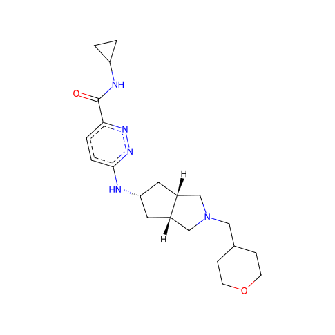 O=C(NC1CC1)c1ccc(N[C@@H]2C[C@@H]3CN(CC4CCOCC4)C[C@@H]3C2)nn1